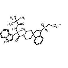 CCOC(=O)CS(=O)(=O)N1CC2(CCN(C(=O)[C@](C)(NC(=O)C(C)(C)N)c3c[nH]c4ccccc34)CC2)c2ccccc21